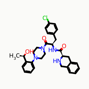 C[C@@H](O)c1ccccc1N1CCN(C(=O)[C@@H](Cc2ccc(Cl)cc2)NC(=O)[C@H]2Cc3ccccc3CN2)CC1